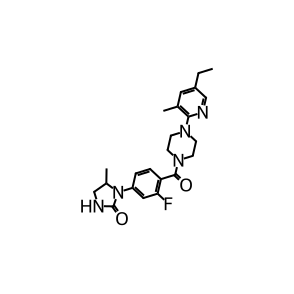 CCc1cnc(N2CCN(C(=O)c3ccc(N4C(=O)NCC4C)cc3F)CC2)c(C)c1